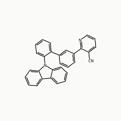 N#Cc1cccnc1-c1cccc(-c2ccccc2-n2c3ccccc3c3ccccc32)c1